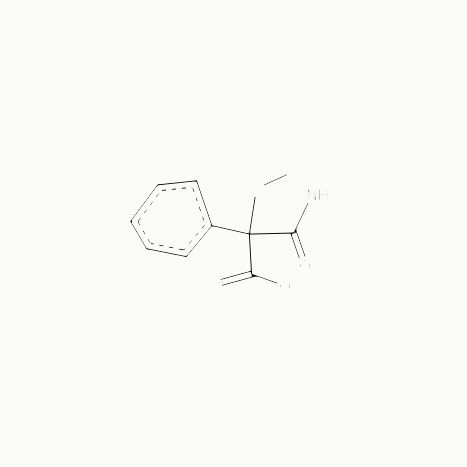 COC(C(N)=O)(C(=O)O)c1ccccc1